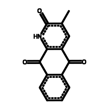 Cc1cc2c([nH]c1=O)C(=O)c1ccccc1C2=O